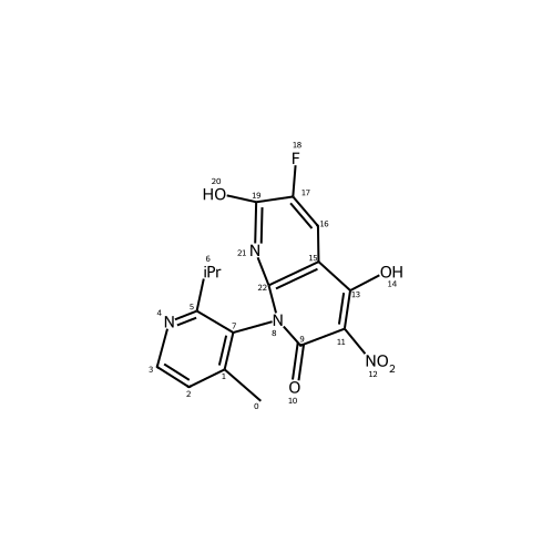 Cc1ccnc(C(C)C)c1-n1c(=O)c([N+](=O)[O-])c(O)c2cc(F)c(O)nc21